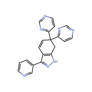 C1=CC(c2ccncn2)(c2ccncn2)Cc2[nH]nc(-c3cccnc3)c21